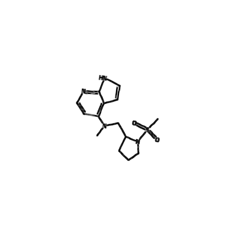 CN(CC1CCCN1S(C)(=O)=O)c1ccnc2[nH]ccc12